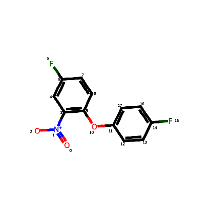 O=[N+]([O-])c1cc(F)ccc1Oc1ccc(F)cc1